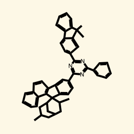 CC1CC2CC(C)C3(c4ccc(-c5nc(-c6ccccc6)nc(-c6ccc7c(c6)C(C)(C)c6ccccc6-7)n5)cc4-c4ccc5ccccc5c43)C(C1)C2